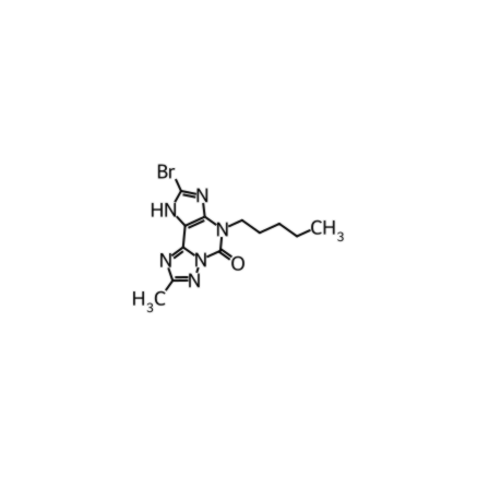 CCCCCn1c(=O)n2nc(C)nc2c2[nH]c(Br)nc21